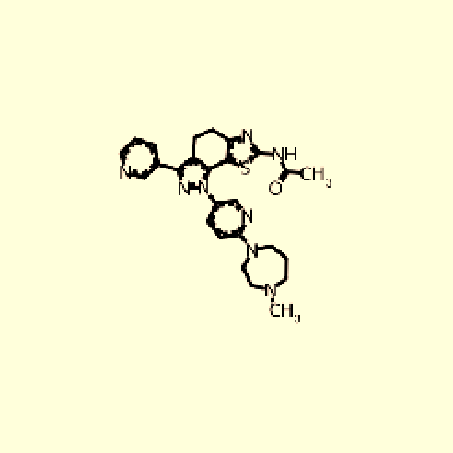 CC(=O)Nc1nc2c(s1)-c1c(c(-c3cccnc3)nn1-c1ccc(N3CCCN(C)CC3)nc1)CC2